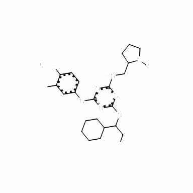 CCN1CCCC1CNc1nc(Nc2ccc(OC)c(F)c2)nc(NC(CO)C2CCCCC2)n1